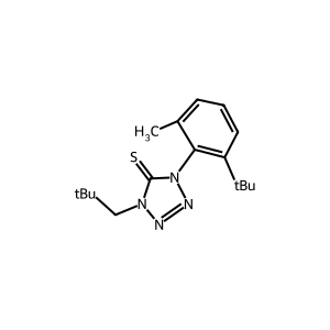 Cc1cccc(C(C)(C)C)c1-n1nnn(CC(C)(C)C)c1=S